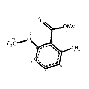 COC(=O)c1c(C)ccnc1OC(F)(F)F